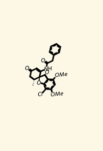 COc1cc(OC)c2c(c1Cl)O[C@]1(C2=O)C(NC(=O)Cc2ccccc2)=CC(=O)C[C@H]1C